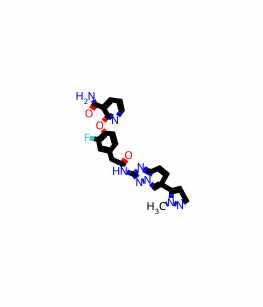 Cn1nccc1-c1ccc2nc(NC(=O)Cc3ccc(Oc4ncccc4C(N)=O)c(F)c3)nn2c1